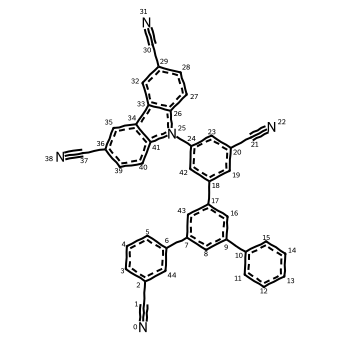 N#Cc1cccc(-c2cc(-c3ccccc3)cc(-c3cc(C#N)cc(-n4c5ccc(C#N)cc5c5cc(C#N)ccc54)c3)c2)c1